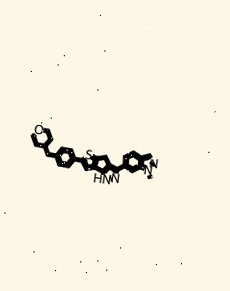 Cn1ncc2ccc(-c3n[nH]c4c3Cc3sc(-c5ccc(CC6CCOCC6)cc5)cc3-4)cc21